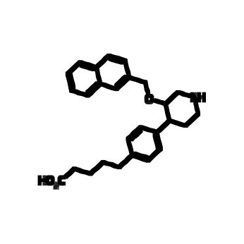 O=C(O)CCCCc1ccc(C2CCNCC2OCc2ccc3ccccc3c2)cc1